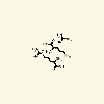 N=C(N)N.N=C(N)NCCCC(N)C(=O)O.NCCCC(N)C(=O)O